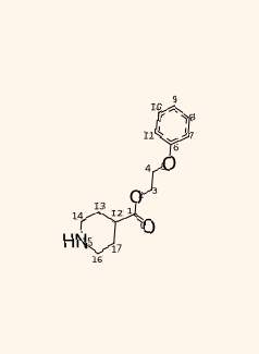 O=C(OCCOc1ccccc1)C1CCNCC1